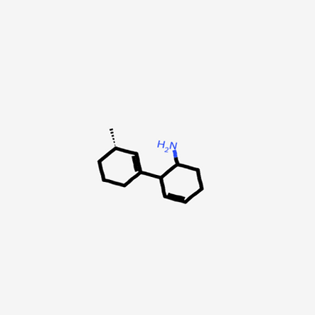 C[C@@H]1C=C(C2C=CCCC2N)CCC1